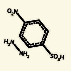 NN.O=[N+]([O-])c1ccc(S(=O)(=O)O)cc1